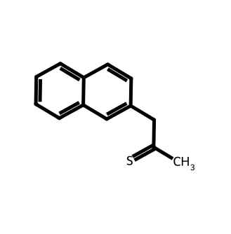 CC(=S)Cc1ccc2ccccc2c1